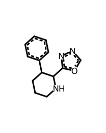 c1ccc(C2CCCNC2c2nnco2)cc1